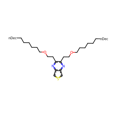 CCCCCCCCCCCCCCCCOCCc1nc2cscc2nc1CCOCCCCCCCCCCCCCCCC